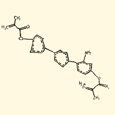 C=C(C)C(=C)Oc1ccc(-c2ccc(-c3ccc(OC(=O)C(=C)C)cc3)cc2)c(N)c1